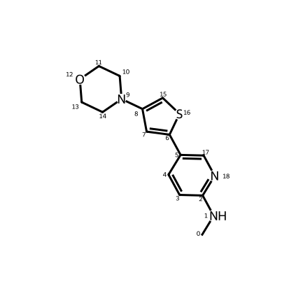 CNc1ccc(-c2cc(N3CCOCC3)cs2)cn1